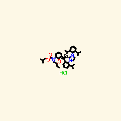 CCC1CN(C(=O)OCC(C)C)c2cccc(/[CH]=[Ru]/[CH]3N(c4c(C(C)C)cccc4C(C)C)CCN3c3c(C(C)C)cccc3C(C)C)c2O1.Cl